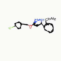 COc1ccccc1-c1cc(OCc2ccc(F)cc2)n[nH]1